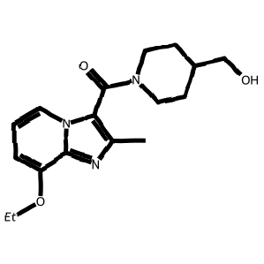 CCOc1cccn2c(C(=O)N3CCC(CO)CC3)c(C)nc12